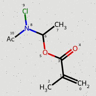 C=C(C)C(=O)OC(C)N(Cl)C(C)=O